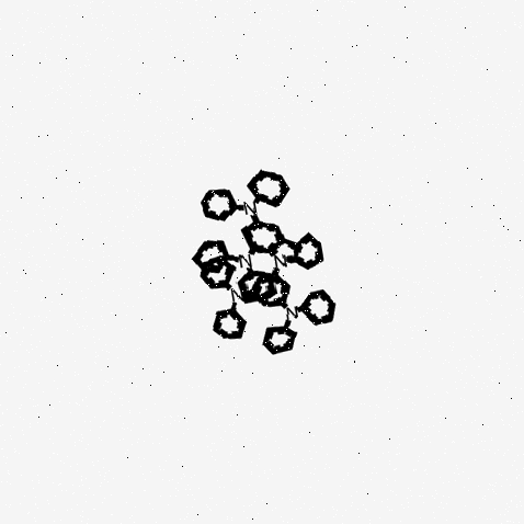 c1ccc(N(c2ccccc2)c2cc(N(c3ccccc3)c3ccccc3)cc(-n3c4ccccc4c4cc(N(c5ccccc5)c5ccccc5)cc(N(c5ccccc5)c5ccccc5)c43)c2)cc1